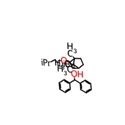 CC(C)COCC(C)C.CC12CCC(CC1=O)C2(C)C.OC(c1ccccc1)c1ccccc1